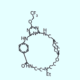 CCN1CCNC(=O)c2ccc(cc2)Nc2nc(nc(OCC(F)(F)F)n2)NCc2ccc(cc2)OCC1